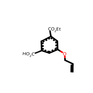 C=CCOc1cc(C(=O)O)cc(C(=O)OCC)c1